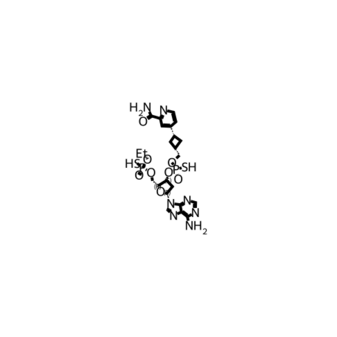 CCOP(=O)(S)OC[C@H]1O[C@@H](n2cnc3c(N)ncnc32)C[C@@H]1OP(=O)(S)OC[C@H]1C[C@@H](c2ccnc(C(N)=O)c2)C1